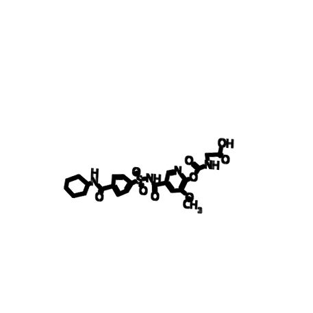 COc1cc(C(=O)NS(=O)(=O)c2ccc(C(=O)NC3CCCCC3)cc2)cnc1OC(=O)NCC(=O)O